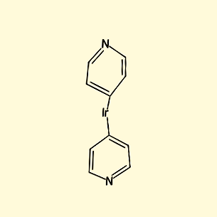 c1c[c]([Ir][c]2ccncc2)ccn1